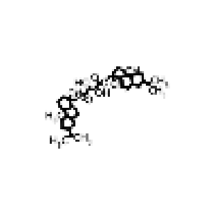 CC(C)C1CCC2C(CCC3C(C)(COC(=O)C(O)C(O)C(=O)OCC4(C)CCCC5(C)C6CCC(C(C)C)CC6CCC45)CCCC23C)C1